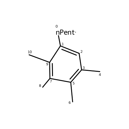 CCCC[CH]c1cc(C)c(C)c(C)c1C